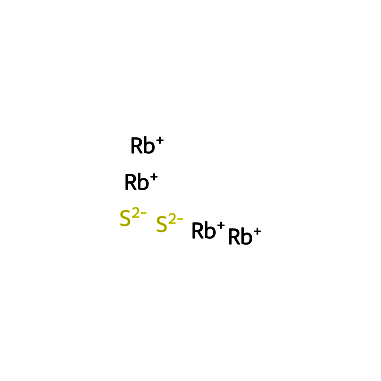 [Rb+].[Rb+].[Rb+].[Rb+].[S-2].[S-2]